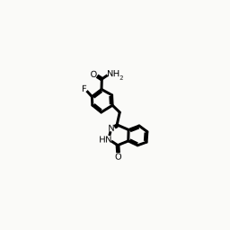 NC(=O)c1cc(Cc2n[nH]c(=O)c3ccccc23)ccc1F